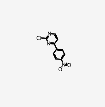 O=[N+]([O-])c1ccc(-c2ccnc(Cl)n2)cc1